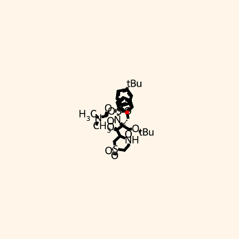 CN(C)C(=O)ON([C@@](Cc1ccccc1)(C(=O)OC(C)(C)C)C(=O)C1CS(=O)(=O)CCN1)S(=O)(=O)c1ccc(C(C)(C)C)cc1